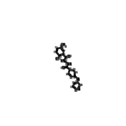 O=C(NNC(=O)c1cc(C(F)(F)F)ccc1Cl)c1ccc(Oc2cccnc2)cc1